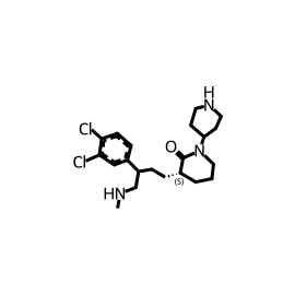 CNCC(CC[C@H]1CCCN(C2CCNCC2)C1=O)c1ccc(Cl)c(Cl)c1